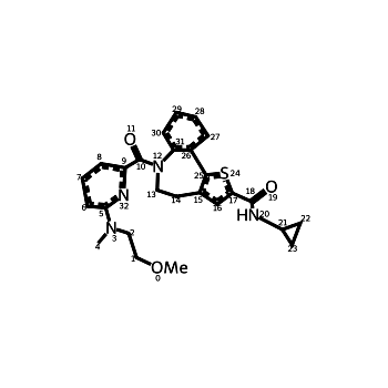 COCCN(C)c1cccc(C(=O)N2CCc3cc(C(=O)NC4CC4)sc3-c3ccccc32)n1